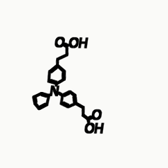 O=C(O)CCc1ccc(N(c2ccccc2)c2ccc(CCC(=O)O)cc2)cc1